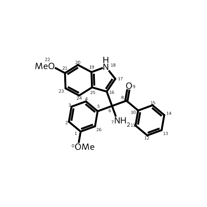 COc1cccc(C(N)(C(=O)c2ccccc2)c2c[nH]c3cc(OC)ccc23)c1